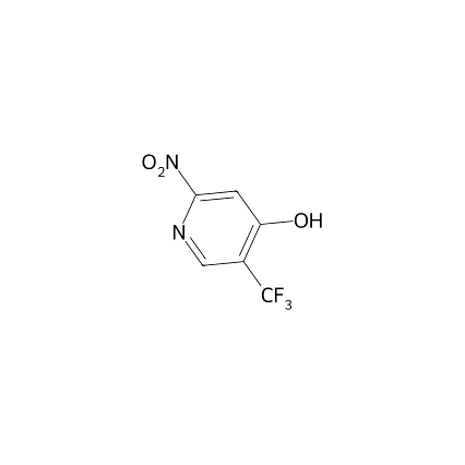 O=[N+]([O-])c1cc(O)c(C(F)(F)F)cn1